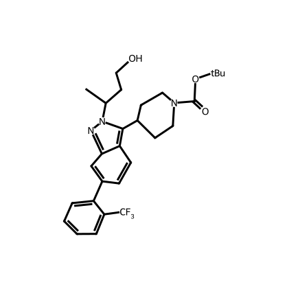 CC(CCO)n1nc2cc(-c3ccccc3C(F)(F)F)ccc2c1C1CCN(C(=O)OC(C)(C)C)CC1